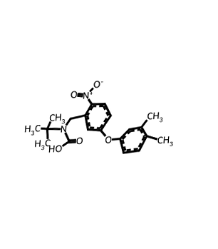 Cc1ccc(Oc2ccc([N+](=O)[O-])c(CN(C(=O)O)C(C)(C)C)c2)cc1C